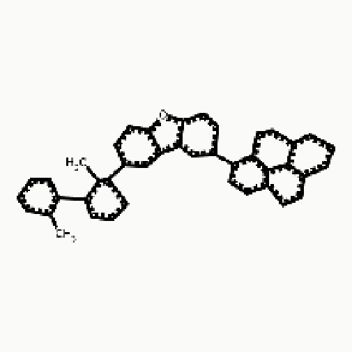 Cc1ccccc1-c1cccc(-c2ccc3oc4ccc(-c5ccc6ccc7cccc8ccc5c6c78)cc4c3c2)c1C